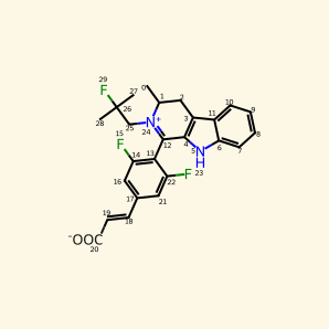 CC1Cc2c([nH]c3ccccc23)C(c2c(F)cc(C=CC(=O)[O-])cc2F)=[N+]1CC(C)(C)F